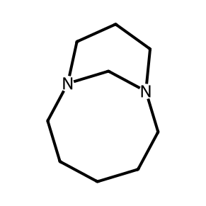 C1CCN2CCCN(CC1)C2